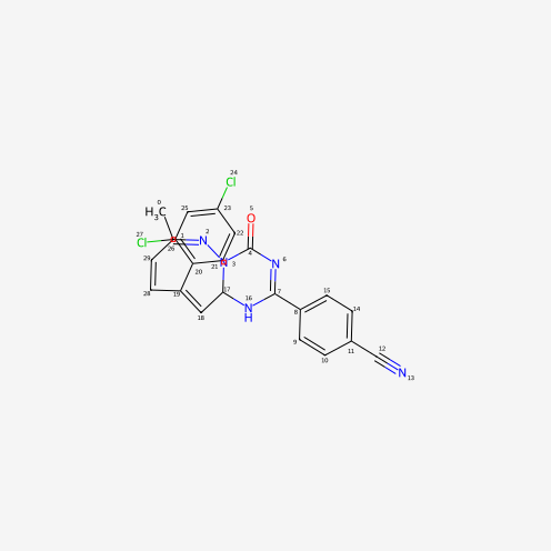 CC1=N/N2C(=O)N=C(c3ccc(C#N)cc3)NC2/C=C(c2ccc(Cl)cc2Cl)/C=C\1